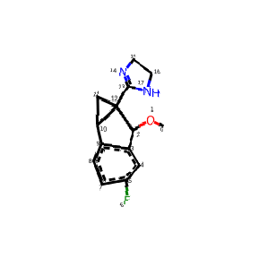 COC1c2cc(F)ccc2C2CC21C1=NCCN1